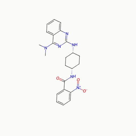 CN(C)c1nc(N[C@H]2CC[C@@H](NC(=O)c3ccccc3[N+](=O)[O-])CC2)nc2ccccc12